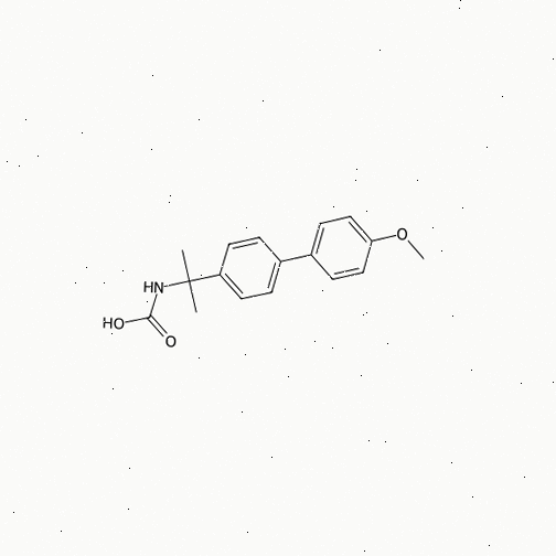 COc1ccc(-c2ccc(C(C)(C)NC(=O)O)cc2)cc1